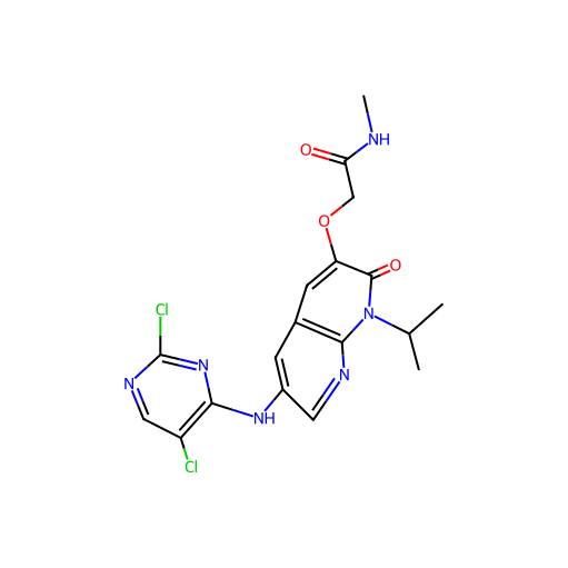 CNC(=O)COc1cc2cc(Nc3nc(Cl)ncc3Cl)cnc2n(C(C)C)c1=O